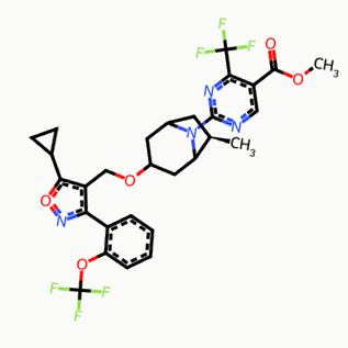 COC(=O)c1cnc(N2C3CC(OCc4c(-c5ccccc5OC(F)(F)F)noc4C4CC4)CC2[C@H](C)C3)nc1C(F)(F)F